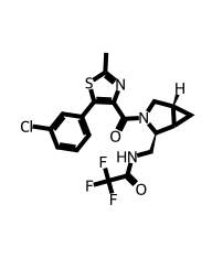 Cc1nc(C(=O)N2C[C@@H]3CC3[C@H]2CNC(=O)C(F)(F)F)c(-c2cccc(Cl)c2)s1